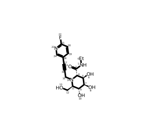 CCNC(=O)[C@@H]1[C@@H](O)[C@@H](O)[C@H](O)[C@@H](CO)N1CC#Cc1ccc(F)nc1